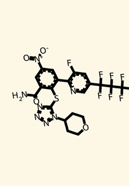 NC(=O)c1cc([N+](=O)[O-])cc(-c2ncc(C(F)(F)C(F)(F)C(F)(F)F)cc2F)c1Sc1nnnn1C1CCOCC1